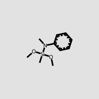 CO[Si](C)(OC)N(C)c1ccccc1